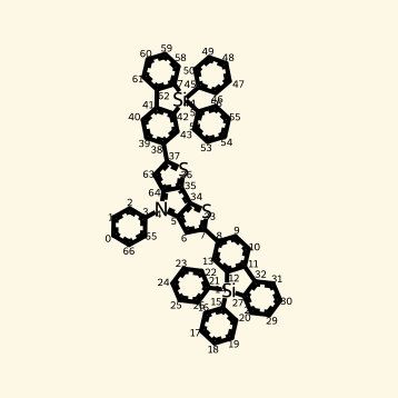 c1ccc(-n2c3cc(-c4ccc5c(c4)[Si](c4ccccc4)(c4ccccc4)c4ccccc4-5)sc3c3sc(-c4ccc5c(c4)[Si](c4ccccc4)(c4ccccc4)c4ccccc4-5)cc32)cc1